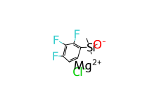 C[Si](C)([O-])c1ccc(F)c(F)c1F.[Cl-].[Mg+2]